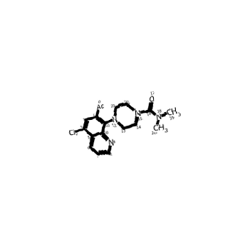 CC(=O)c1cc(Cl)c2cccnc2c1N1CCN(C(=O)N(C)C)CC1